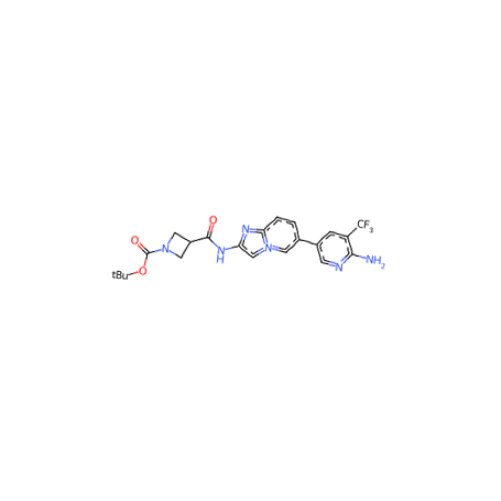 CC(C)(C)OC(=O)N1CC(C(=O)Nc2cn3cc(-c4cnc(N)c(C(F)(F)F)c4)ccc3n2)C1